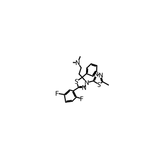 Cc1nnc(N2N=C(c3cc(F)ccc3F)SC2(CCN(C)C)c2ccccc2)s1